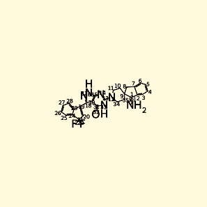 N[C@@H]1c2ccccc2CC12CCN(c1nc3[nH]nc(C4=CC(F)(F)c5ccccc54)c3c(=O)[nH]1)CC2